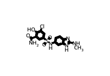 CNc1nc2ccc(NS(=O)(=O)c3cc(Cl)c(O)c(C(N)=O)c3)cc2[nH]1